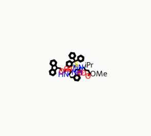 COC(=O)C[C@H](O)[C@H](NC(=O)[C@@H](CSC(c1ccccc1)(c1ccccc1)c1ccccc1)NC(=O)[C@@H](Cc1ccccc1)NC(=O)OCC1c2ccccc2-c2ccccc21)C(C)C